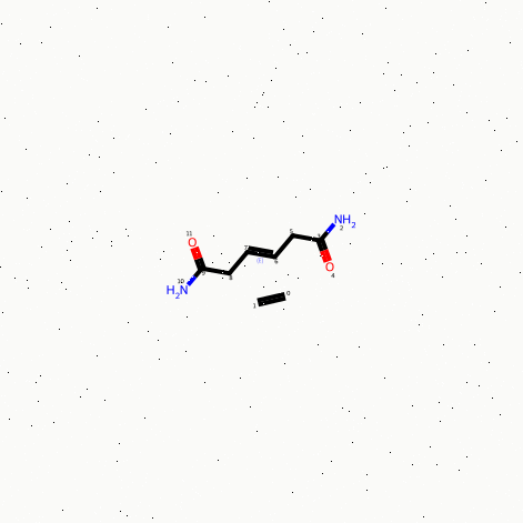 C=C.NC(=O)C/C=C/CC(N)=O